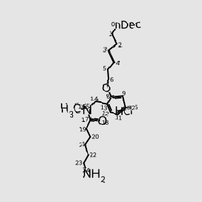 CCCCCCCCCCCCCCCCOc1ccccc1CN(C)C(=O)CCCCCN.Cl